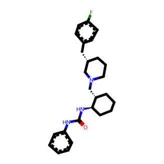 O=C(Nc1ccccc1)N[C@@H]1CCCC[C@H]1CN1CCC[C@@H](Cc2ccc(F)cc2)C1